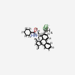 CC1=CC(C)c2c1c1ccccc1c1ccc[c]([Ti+2]([CH3])([CH3])[NH]C(=O)C3CCCCC3)c21.[Cl-].[Cl-].[SiH4]